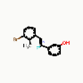 Cc1c(Br)cccc1/C=C(\F)c1cccc(O)c1